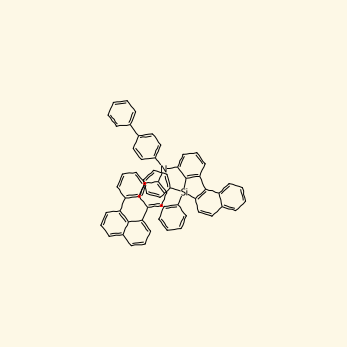 c1ccc(-c2ccc(N(c3ccc(-c4cccc5cccc(-c6ccccc6)c45)cc3)c3cccc4c3[Si](c3ccccc3)(c3ccccc3)c3ccc5ccccc5c3-4)cc2)cc1